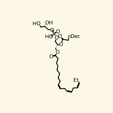 CC/C=C\C/C=C\C/C=C\CCCCCCCC(=O)OC[C@H](COP(=O)(O)OC[C@@H](O)CO)OC(=O)CCCCCCCCCCC